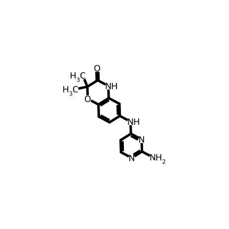 CC1(C)Oc2ccc(Nc3ccnc(N)n3)cc2NC1=O